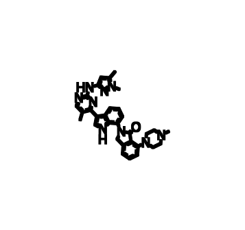 Cc1cnc(Nc2cc(C)n(C)n2)nc1-c1c[nH]c2c(N3Cc4cccc(N5CCN(C)CC5)c4C3=O)cccc12